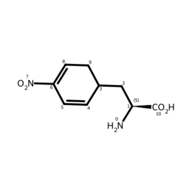 N[C@@H](CC1C=CC([N+](=O)[O-])=CC1)C(=O)O